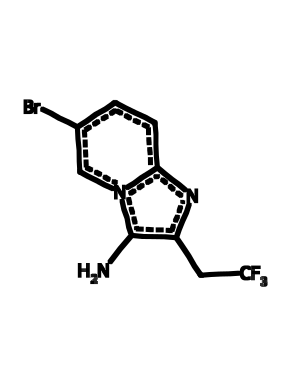 Nc1c(CC(F)(F)F)nc2ccc(Br)cn12